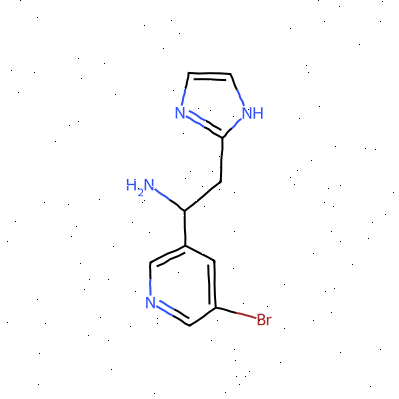 NC(Cc1ncc[nH]1)c1cncc(Br)c1